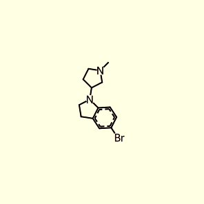 CN1CCC(N2CCc3cc(Br)ccc32)C1